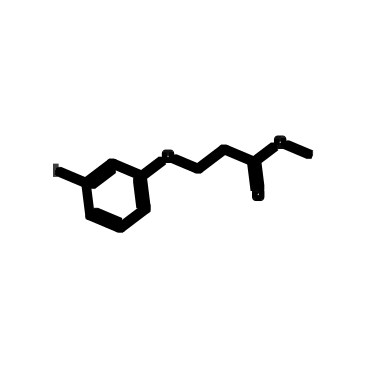 COC(=O)CCOc1cccc(I)c1